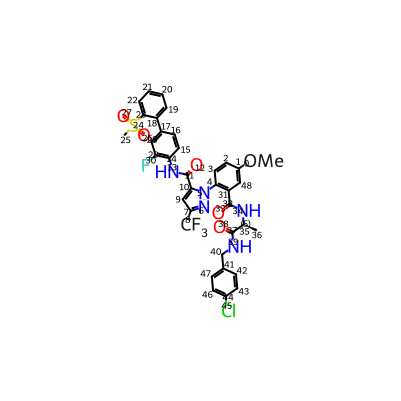 COc1ccc(-n2nc(C(F)(F)F)cc2C(=O)Nc2ccc(-c3ccccc3S(C)(=O)=O)cc2F)c(C(=O)N[C@@H](C)C(=O)NCc2ccc(Cl)cc2)c1